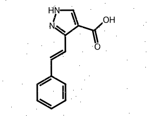 O=C(O)c1c[nH]nc1C=Cc1ccccc1